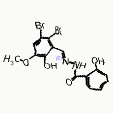 COc1cc(Br)c(Br)c(/C=N/NC(=O)c2ccccc2O)c1O